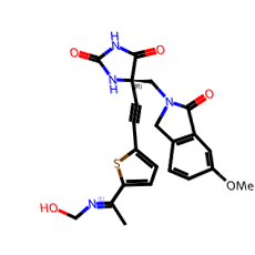 COc1ccc2c(c1)C(=O)N(C[C@@]1(C#Cc3ccc(/C(C)=N/CO)s3)NC(=O)NC1=O)C2